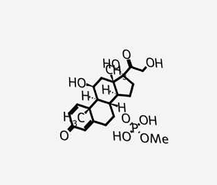 COP(=O)(O)O.C[C@]12C=CC(=O)C=C1CC[C@@H]1[C@@H]2[C@@H](O)C[C@@]2(C)[C@H]1CC[C@]2(O)C(=O)CO